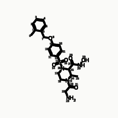 Cc1ccccc1COc1ccc(S(=O)(=O)N2CCN(C(=O)CN)C(C)C2C(=O)NO)cc1